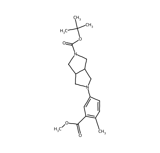 COC(=O)c1cc(N2CC3CN(C(=O)OC(C)(C)C)CC3C2)ccc1C